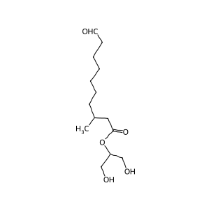 CC(CCCCCCC=O)CC(=O)OC(CO)CO